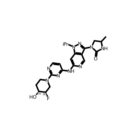 CC1CN(c2nn(C(C)C)c3cc(Nc4ccnc(N5CC[C@H](O)[C@H](F)C5)n4)ncc23)C(=O)N1